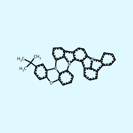 CC(C)(C)c1ccc2c(c1)B1c3c(cccc3-n3c4c1cccc4c1ccc4c(c5cccc6c7ccccc7n4c65)c13)O2